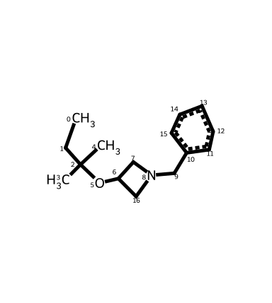 CCC(C)(C)OC1CN(Cc2ccccc2)C1